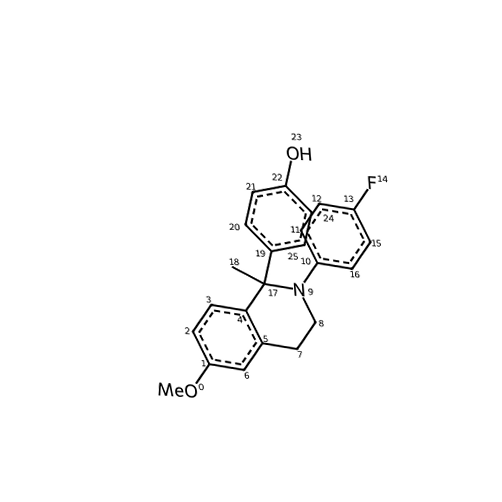 COc1ccc2c(c1)CCN(c1ccc(F)cc1)C2(C)c1ccc(O)cc1